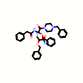 NC(=O)C(C[C@@](NC(=O)Cc1ccccc1)(OCc1ccccc1)C(=O)N1CCN(Cc2ccccc2)CC1)OCc1ccccc1